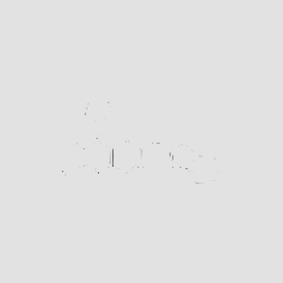 N#Cc1cc2cnc(Nc3nc4ccccc4s3)cc2n(C2CCCC2)c1=O